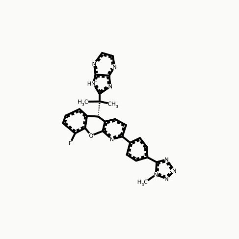 Cn1nnnc1-c1ccc(-c2ccc3c(n2)Oc2c(F)cccc2[C@@H]3C(C)(C)c2nc3nccnc3[nH]2)cc1